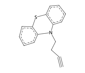 C#CCCN1c2ccccc2Sc2ccccc21